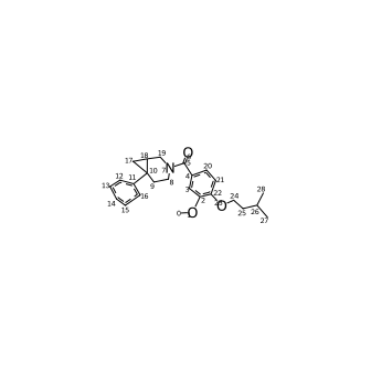 COc1cc(C(=O)N2CCC3(c4ccccc4)CC3C2)ccc1OCCC(C)C